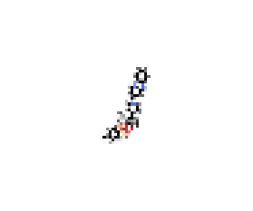 [2H]C([2H])(OS(=O)(=O)c1ccc(C)cc1)C([2H])([2H])C1CCN(c2ccn3c(c2)nc2ccccc23)CC1